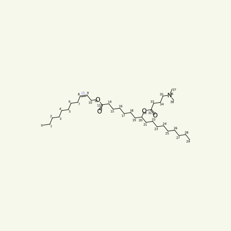 CCCCCCCC/C=C\COC(=O)CCCCCCC(CCCCCCCCC)OC(=O)CCCN(C)C